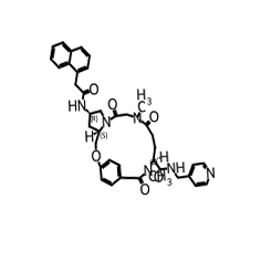 CN1CC(=O)N2C[C@H](NC(=O)Cc3cccc4ccccc34)C[C@H]2COc2ccc(cc2)C(=O)N(C)[C@H](C(=O)NCc2ccncc2)CCC1=O